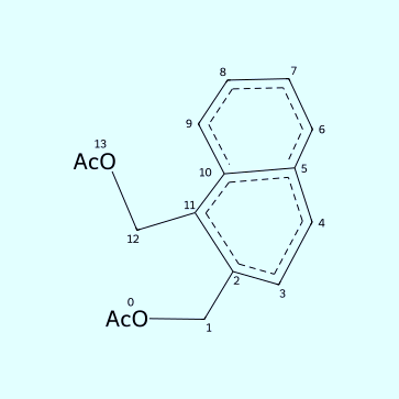 CC(=O)OCc1ccc2ccccc2c1COC(C)=O